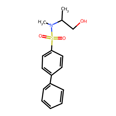 CC(CO)N(C)S(=O)(=O)c1ccc(-c2ccccc2)cc1